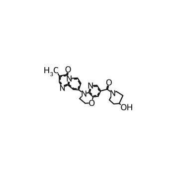 Cc1cnc2cc(N3CCOc4cc(C(=O)N5CCC(O)CC5)cnc43)ccn2c1=O